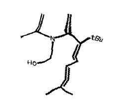 C=C(C)N(CO)C(=C)/C(=C\C=C(C)C)C(C)(C)C